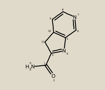 NC(=O)C1=Nc2cnccc2C1